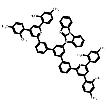 Cc1ccc(-c2cc(-c3cccc(-c4cc(-c5cccc(-c6cc(-c7ccc(C)cc7C)cc(-c7ccc(C)cc7C)n6)c5)cc(-n5c6ccccc6n6c7ccccc7nc56)c4)c3)nc(-c3ccc(C)cc3C)c2)c(C)c1